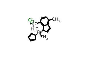 Cc1ccc(C)c2c1C=C[CH]2[Hf]([CH3])([CH3])[CH]1C=CC=C1.[Cl-].[Cl-]